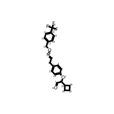 O=CC(Oc1ccc(CC=NOCc2ccc(C(F)(F)F)cc2)cc1)C1CCC1